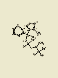 [2H]C([2H])(CN(C)C([2H])([2H])[2H])OC([2H])(c1ccccc1)c1ccnn1C